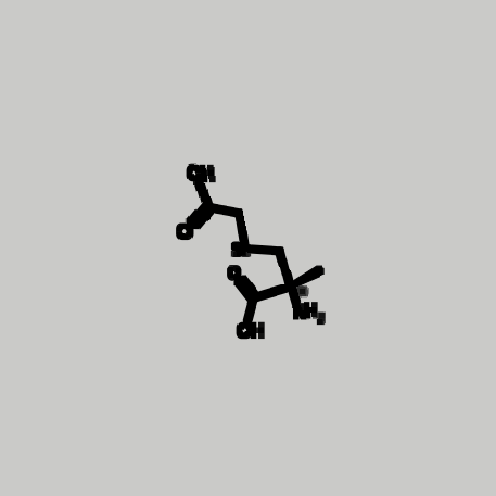 C[C@](N)(C[Se]CC(=O)O)C(=O)O